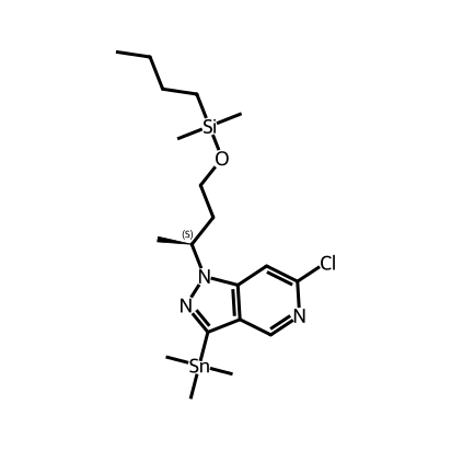 CCCC[Si](C)(C)OCC[C@H](C)n1n[c]([Sn]([CH3])([CH3])[CH3])c2cnc(Cl)cc21